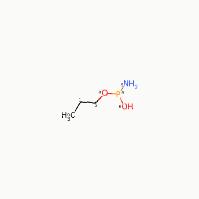 CCCOP(N)O